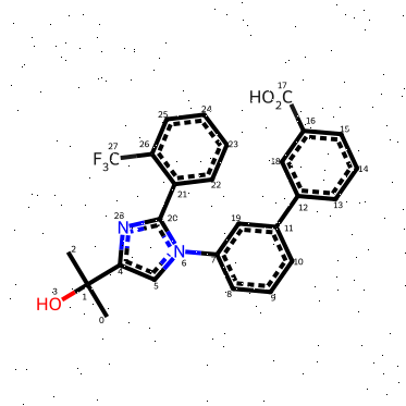 CC(C)(O)c1cn(-c2cccc(-c3cccc(C(=O)O)c3)c2)c(-c2ccccc2C(F)(F)F)n1